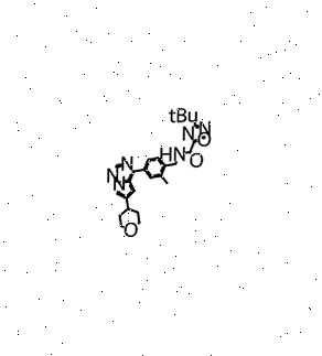 Cc1cc(-c2ncnn3cc(C4CCOCC4)cc23)ccc1CNC(=O)c1nc(C(C)(C)C)no1